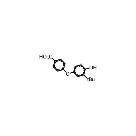 CC(C)(C)c1cc(Oc2ccc(C(=O)O)cc2)ccc1O